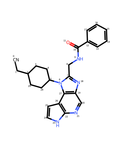 N#CCC1CCC(n2c(CNC(=O)c3ccccc3)nc3cnc4[nH]ccc4c32)CC1